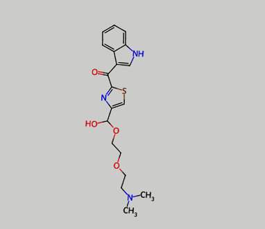 CN(C)CCOCCOC(O)c1csc(C(=O)c2c[nH]c3ccccc23)n1